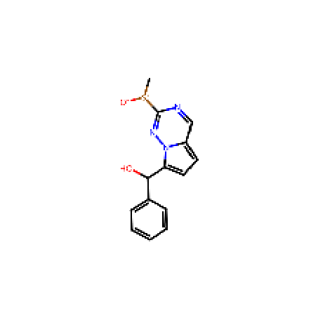 C[S+]([O-])c1ncc2ccc(C(O)c3ccccc3)n2n1